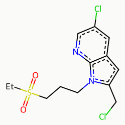 CCS(=O)(=O)CCCn1c(CCl)cc2cc(Cl)cnc21